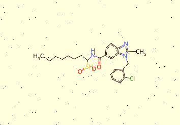 CCCCCCCC(NC(=O)c1ccc2nc(C)n(Cc3ccccc3Cl)c2c1)[SH](=O)=O